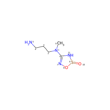 CN(CCCN)C1=NOS(=O)N1